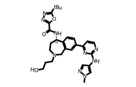 Cn1cc(Nc2nccc(-c3ccc4c(c3)CN(CCCO)CC[C@@H]4NC(=O)c3nnc(C(C)(C)C)o3)n2)cn1